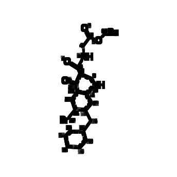 CC(C)(C)OC(=O)CNC(=O)c1c[nH]c2cc(Cc3ccccc3)c(Br)cc2c1=O